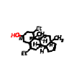 CCC1=C2C[C@@H](O)CC(CC)[C@]2(C)[C@H]2CC[C@]3(C)C=CC[C@H]3[C@@H]2C1